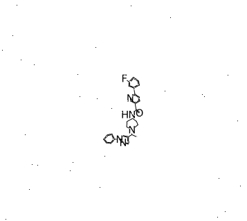 CC(c1cnn(-c2ccccc2)c1)N1CCC(NC(=O)c2ccc(-c3cccc(F)c3)nc2)CC1